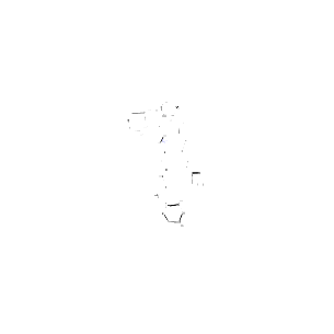 COC(=O)CCCCCC[C@H]1C(=O)C[C@@H](OC2CCCCO2)[C@@H]1C/C=C/CCCCC[S+]([O-])c1ccc(C)cc1